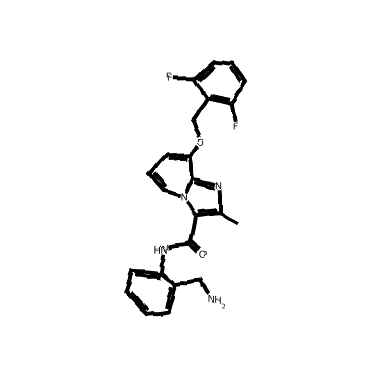 Cc1nc2c(OCc3c(F)cccc3F)cccn2c1C(=O)Nc1ccccc1CN